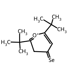 CC(C)(C)C1=CC(=[Se])CC(C(C)(C)C)=[O+]1